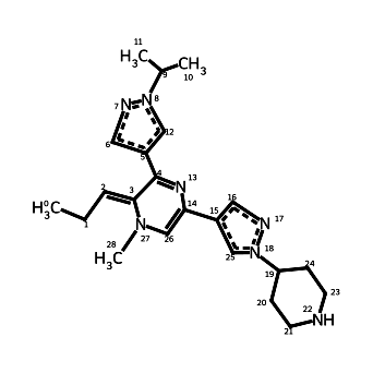 CC/C=C1/C(c2cnn(C(C)C)c2)=NC(c2cnn(C3CCNCC3)c2)=CN1C